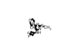 CSc1nc(NC2CC(F)(F)C2)cc(N2CCOC[C@H]2C)n1